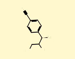 CCC(C)[C@H](N)c1ccc(C#N)cc1